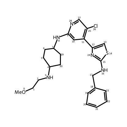 COCCNC1CCC(Nc2cc(-c3csc(NCc4ccccc4)n3)c(Cl)cn2)CC1